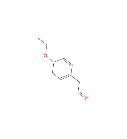 CCOC1C=CC(CC=O)=CC1